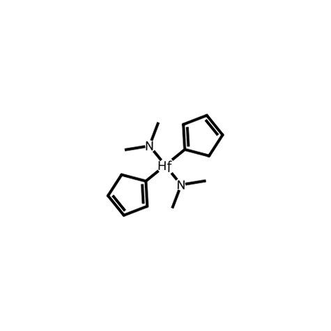 C[N](C)[Hf]([C]1=CC=CC1)([C]1=CC=CC1)[N](C)C